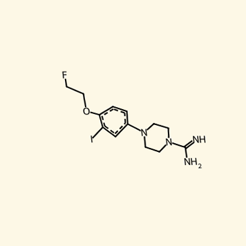 N=C(N)N1CCN(c2ccc(OCCF)c(I)c2)CC1